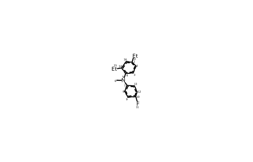 CCc1ccc(N(C)c2ccc(F)cc2)c(CC)c1